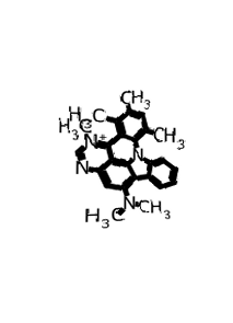 Cc1cc(C)c2c(c1C)c1c3c(cc(N(C)C)c4c5ccccc5n2c43)nc[n+]1C